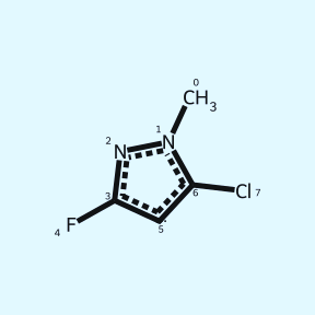 Cn1nc(F)[c]c1Cl